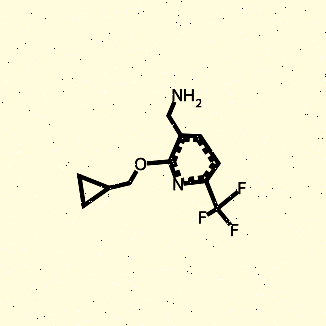 NCc1ccc(C(F)(F)F)nc1OCC1CC1